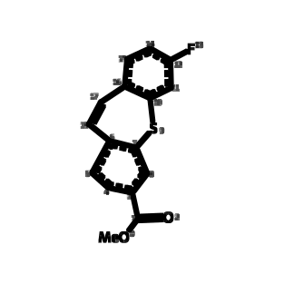 COC(=O)c1ccc2c(c1)Sc1cc(F)ccc1C=C2